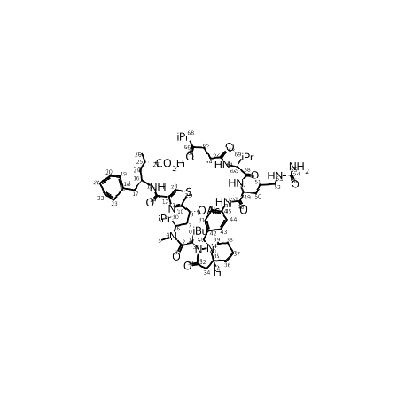 CC[C@H](C)[C@@H](C(=O)N(C)[C@H](C[C@@H](OC(C)=O)c1nc(C(=O)N[C@@H](Cc2ccccc2)C[C@H](C)C(=O)O)cs1)C(C)C)N1C(=O)C[C@H]2CCCC[N+]21Cc1ccc(NC(=O)[C@H](CCCNC(N)=O)NC(=O)[C@@H](NC(=O)CCC(=O)C(C)C)C(C)C)cc1